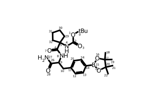 CC(C)(C)OC(=O)NC1(C(=O)NC(Cc2ccc(B3OC(C)(C)C(C)(C)O3)cc2)C(N)=O)CCCC1